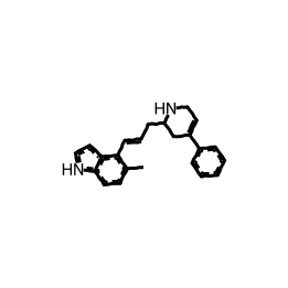 Cc1ccc2[nH]ccc2c1/C=C/CC1CC(c2ccccc2)=CCN1